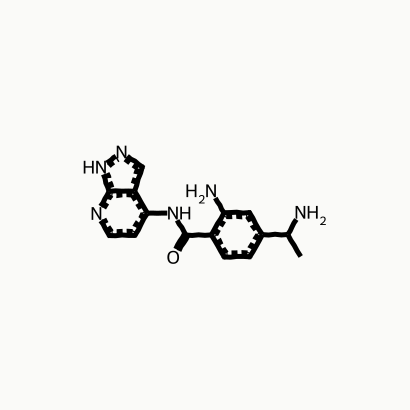 CC(N)c1ccc(C(=O)Nc2ccnc3[nH]ncc23)c(N)c1